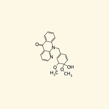 COC1C=C(Cn2c3ccccc3c(=O)c3cccnc32)C=CC1(O)OC